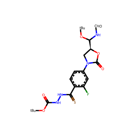 CC(C)(C)OC(=O)NNC(=S)c1ccc(N2C[C@@H](C(NC=O)OC(C)(C)C)OC2=O)cc1F